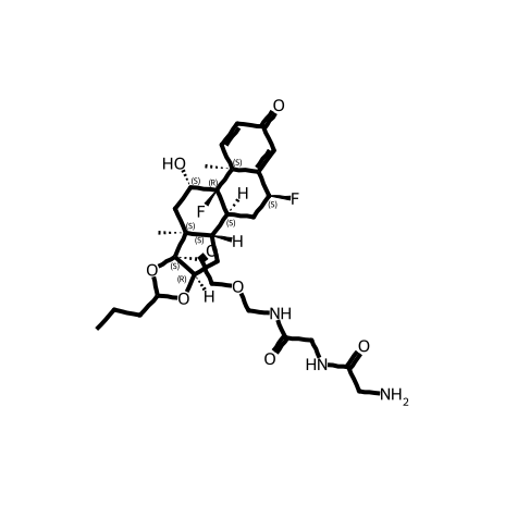 CCCC1O[C@@H]2C[C@H]3[C@@H]4C[C@H](F)C5=CC(=O)C=C[C@]5(C)[C@@]4(F)[C@@H](O)C[C@]3(C)[C@]2(C(=O)COCNC(=O)CNC(=O)CN)O1